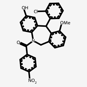 COc1cccc2c1C(c1ccccc1Cl)c1cc(O)ccc1N(C(=O)c1ccc([N+](=O)[O-])cc1)C2